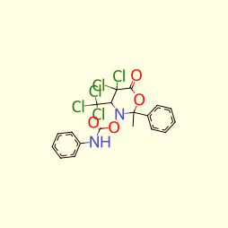 CC1(c2ccccc2)OC(=O)C(Cl)(Cl)C(C(Cl)(Cl)Cl)N1OC(=O)Nc1ccccc1